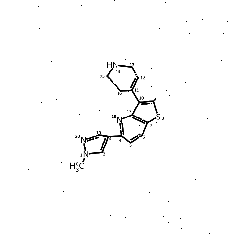 Cn1cc(-c2ccc3scc(C4=CCNCC4)c3n2)cn1